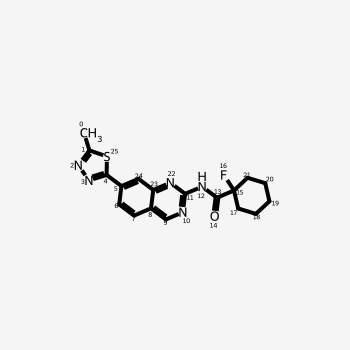 Cc1nnc(-c2ccc3cnc(NC(=O)C4(F)CCCCC4)nc3c2)s1